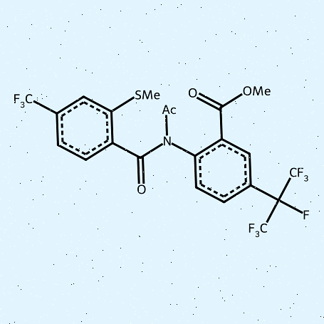 COC(=O)c1cc(C(F)(C(F)(F)F)C(F)(F)F)ccc1N(C(C)=O)C(=O)c1ccc(C(F)(F)F)cc1SC